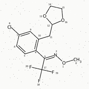 CON=C(c1ccc(Cl)cc1CC1OCCO1)C(F)(F)F